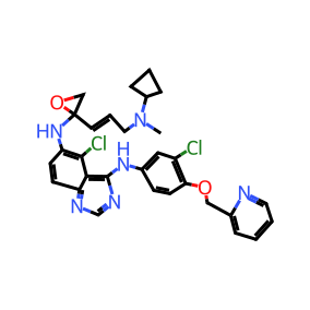 CN(C/C=C/C1(Nc2ccc3ncnc(Nc4ccc(OCc5ccccn5)c(Cl)c4)c3c2Cl)CO1)C1CCC1